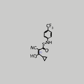 N#C/C(C(=O)SNc1ccc(C(F)(F)F)cc1)=C(\O)C1CC1